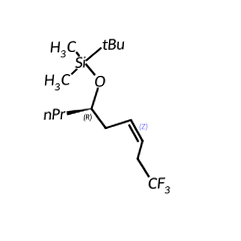 CCC[C@H](C/C=C\CC(F)(F)F)O[Si](C)(C)C(C)(C)C